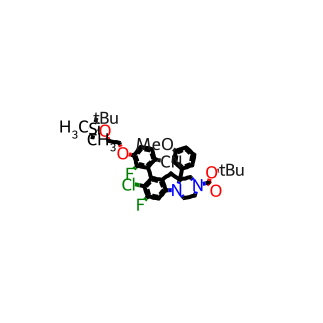 COc1cccc(C23Cc4c(cc(F)c(Cl)c4-c4c(C#N)ccc(OCCO[Si](C)(C)C(C)(C)C)c4F)N2CCN(C(=O)OC(C)(C)C)C3)c1